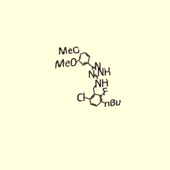 CCCCc1ccc(Cl)c(CNc2nc(-c3ccc(OC)c(OC)c3)n[nH]2)c1F